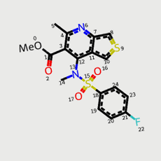 COC(=O)c1c(C)nc2cscc2c1N(C)S(=O)(=O)c1ccc(F)cc1